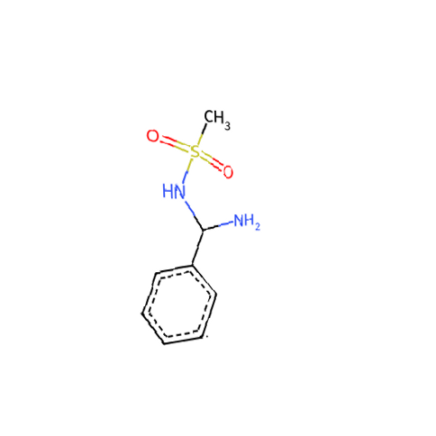 CS(=O)(=O)NC(N)c1c[c]ccc1